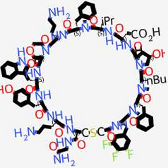 CCCC[C@H]1C(=O)N2C[C@H](O)C[C@@H]2C(=O)N[C@@H](CC(=O)O)C(=O)N[C@@H](C(C)C)C(=O)N(C)[C@@H](Cc2ccccc2)C(=O)N[C@@H](CCCN)C(=O)N2CCOC[C@@H]2C(=O)N[C@@H](Cc2c[nH]c3ccccc23)C(=O)N[C@@H](Cc2ccc(O)cc2)C(=O)N[C@@H](CCCN)C(=O)N[C@H](C(=O)NCC(N)=O)CSCC(=O)N[C@@H](Cc2cc(F)c(F)c(F)c2)C(=O)N(C)[C@@H](Cc2ccccc2)C(=O)N1C